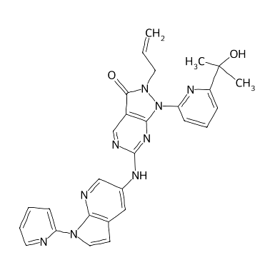 C=CCn1c(=O)c2cnc(Nc3cnc4c(ccn4-c4ccccn4)c3)nc2n1-c1cccc(C(C)(C)O)n1